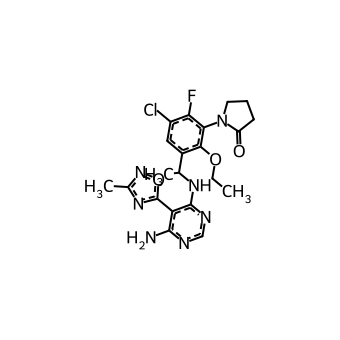 CCOc1c(C(C)Nc2ncnc(N)c2-c2nc(C)no2)cc(Cl)c(F)c1N1CCCC1=O